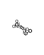 COc1cc(OC)nc(N2C=C3CN(C(=O)c4ncccc4-c4ccccc4)CC3C2)n1